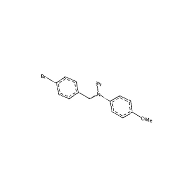 COc1ccc(N(Cc2ccc(Br)cc2)C(C)C)cc1